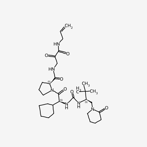 C=CCNC(=O)C(=O)CNC(=O)[C@@H]1CCCN1C(=O)[C@@H](NC(=O)N[C@H](CN1CCCCC1=O)C(C)(C)C)C1CCCCC1